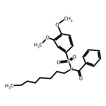 CCCCCCCCN(C(=O)c1ccccc1)S(=O)(=O)c1ccc(OC)c(OC)c1